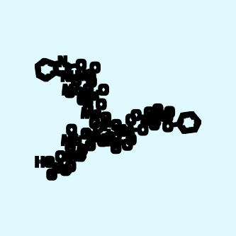 O=P([O][Mo](=[O])(=[O])[O][Mo](=[O])(=[O])[O][Mo](=[O])(=[O])[O][Mo](=[O])(=[O])[OH])([O][Mo](=[O])(=[O])[O][Mo](=[O])(=[O])[O][Mo](=[O])(=[O])[O][Mo](=[O])(=[O])[O]c1ccccc1)[O][Mo](=[O])(=[O])[O][Mo](=[O])(=[O])[O][Mo](=[O])(=[O])[O][Mo](=[O])(=[O])[O]c1nc2ccccc2[nH]1